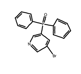 O=P(c1ccccc1)(c1ccccc1)c1cncc(Br)c1